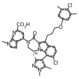 Cc1cc(OCCCc2c3n(c4c(-c5c(C)nn(C)c5C)c(Cl)ccc24)[C@H](C)CN(c2cc(C(=O)O)nc4c2ccn4C)C3=O)cc(C)c1Cl